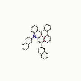 c1cc(-c2ccc3ccccc3c2)cc(N(c2ccc3ccccc3c2)c2ccccc2-c2cc3ccccc3c3ccccc23)c1